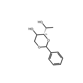 CC(O)[C@@H]1OC(c2ccccc2)OCC1O